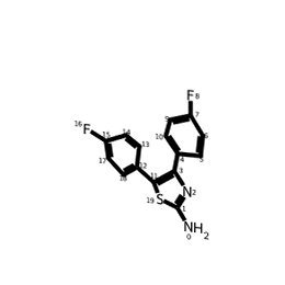 Nc1nc(-c2ccc(F)cc2)c(-c2ccc(F)cc2)s1